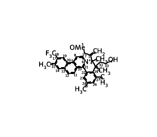 C=C(COC)C1(C)[n+]2ccc3c(ccc4cc(C)c(C(F)(F)F)cc43)c2-c2cc(C)cc(C)c2C1(C)CCO